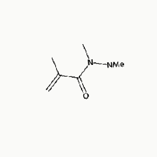 C=C(C)C(=O)N(C)NC